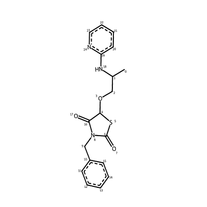 CC(COC1SC(=O)N(Cc2ccccc2)C1=O)Nc1ccccn1